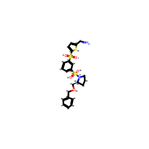 NCc1ccc(S(=O)(=O)c2cccc(S(=O)(=O)N3CCC[C@H]3COCc3ccccc3)c2)s1